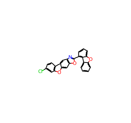 Clc1ccc2c(c1)oc1cc3oc(-c4cccc5oc6ccccc6c45)nc3cc12